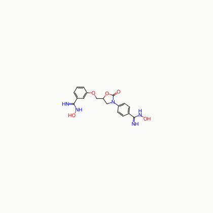 N=C(NO)c1ccc(N2CC(COc3cccc(C(=N)NO)c3)OC2=O)cc1